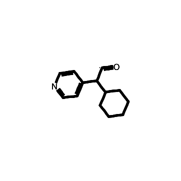 O=[C]C(c1ccncc1)C1CCCCC1